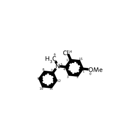 COc1ccc(N(C)c2ccccc2)c(Cl)c1